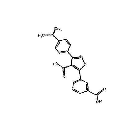 CC(C)c1ccc(-c2noc(-c3cccc(C(=O)O)c3)c2C(=O)O)cc1